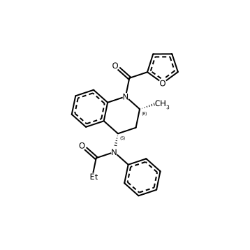 CCC(=O)N(c1ccccc1)[C@H]1C[C@@H](C)N(C(=O)c2ccco2)c2ccccc21